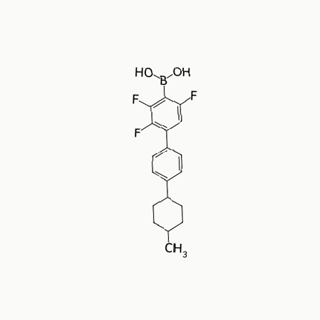 CC1CCC(c2ccc(-c3cc(F)c(B(O)O)c(F)c3F)cc2)CC1